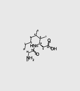 CCCCC(C)C(C)[C@@H](CC(=O)O)NC(=O)CN